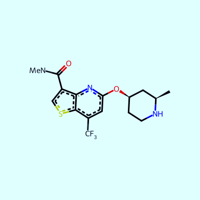 CNC(=O)c1csc2c(C(F)(F)F)cc(O[C@@H]3CCN[C@H](C)C3)nc12